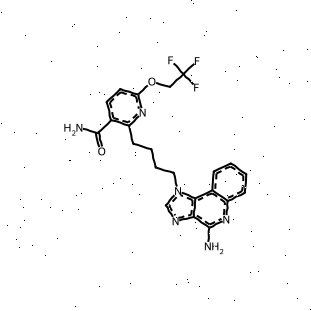 NC(=O)c1ccc(OCC(F)(F)F)nc1CCCCn1cnc2c(N)nc3ccccc3c21